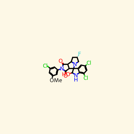 COc1cc(Cl)cc(N2C(=O)C3C4C[C@H](F)CN4C4(c5cc(Cl)cc(Cl)c5NC4O)C3C2=O)c1